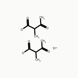 CC(=O)C(C)C(=O)[O-].CC(=O)C(C)C(=O)[O-].[Ti+2]